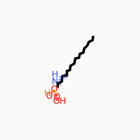 CCCCCCCCCCCCC/C=C/C[C@@H](N)CO[PH](=O)OO